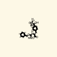 COC(=O)[C@H](Cc1ccc(C(O)P(C)(=O)OC)cc1)NC(=O)OCc1ccccc1